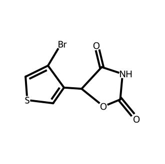 O=C1NC(=O)C(c2cscc2Br)O1